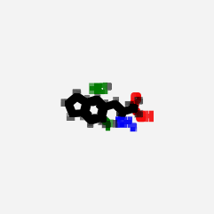 Cl.NC(Cc1cc2c(cc1F)CCC2)C(=O)O